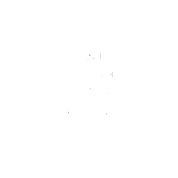 NC(=O)C1(O)CCOOC1